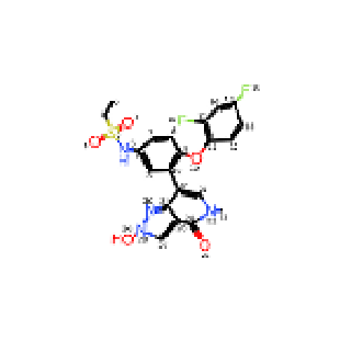 CCS(=O)(=O)Nc1ccc(Oc2ccc(F)cc2F)c(-c2cn(C)c(=O)c3cn(O)nc23)c1